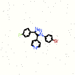 Fc1ccc(-c2nnn(-c3ccc(Br)cc3)c2-c2ccncc2)cc1